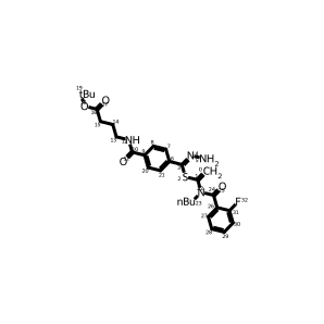 C=C(S/C(=N\N)c1ccc(C(=O)NCCCC(=O)OC(C)(C)C)cc1)N(CCCC)C(=O)c1ccccc1F